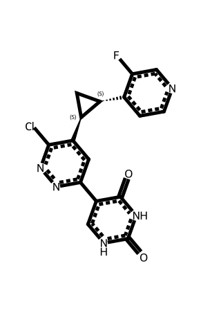 O=c1[nH]cc(-c2cc([C@H]3C[C@@H]3c3ccncc3F)c(Cl)nn2)c(=O)[nH]1